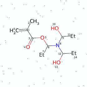 C=C(C)C(=O)OC(CC)N(C(O)CC)C(O)CC